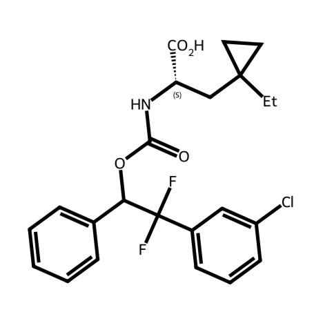 CCC1(C[C@H](NC(=O)OC(c2ccccc2)C(F)(F)c2cccc(Cl)c2)C(=O)O)CC1